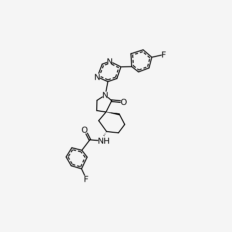 O=C(N[C@H]1CCC[C@]2(CCN(c3cc(-c4ccc(F)cc4)ncn3)C2=O)C1)c1cccc(F)c1